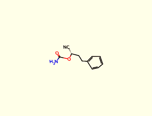 N#C[C@H](CCc1ccccc1)OC(N)=O